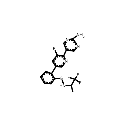 CC(NSc1ccccc1-c1cnc(-c2cnc(N)nc2)c(F)c1)C(F)(F)F